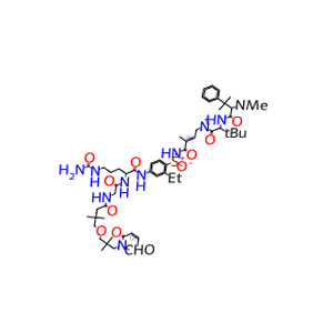 C/C=C\C(=O)N(C=O)CC(C)(C)COCC(C)(C)CC(=O)NCC(=O)NC(CCCNC(N)=O)C(=O)Nc1ccc([S+]([O-])NC(=O)/C(C)=C/CN(C)C(=O)C(NC(=O)C(NC)C(C)(C)c2ccccc2)C(C)(C)C)c(CC)c1